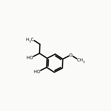 CCC(O)c1cc(OC)ccc1O